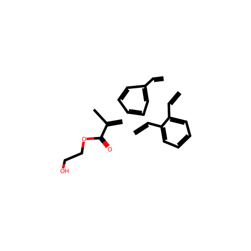 C=C(C)C(=O)OCCO.C=Cc1ccccc1.C=Cc1ccccc1C=C